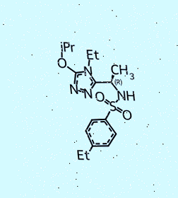 CCc1ccc(S(=O)(=O)N[C@H](C)c2nnc(OC(C)C)n2CC)cc1